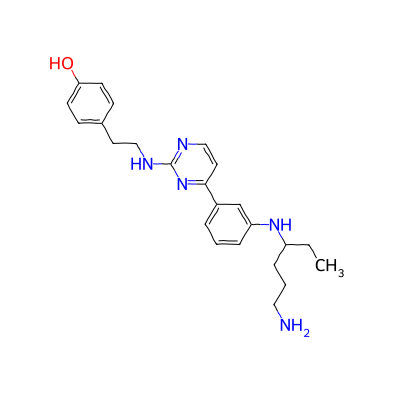 CCC(CCCN)Nc1cccc(-c2ccnc(NCCc3ccc(O)cc3)n2)c1